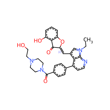 CCn1cc(/C=C2\Oc3cccc(O)c3C2=O)c2c(-c3ccc(C(=O)N4CCN(CCO)CC4)cc3)ccnc21